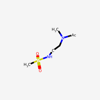 CC(=O)N(C)CCNS(C)(=O)=O